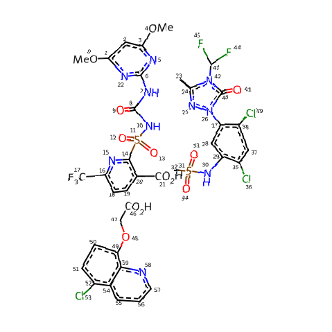 COc1cc(OC)nc(NC(=O)NS(=O)(=O)c2nc(C(F)(F)F)ccc2C(=O)O)n1.Cc1nn(-c2cc(NS(C)(=O)=O)c(Cl)cc2Cl)c(=O)n1C(F)F.O=C(O)COc1ccc(Cl)c2cccnc12